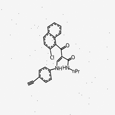 C#Cc1ccc(NC=C(C(=O)NCCC)C(=O)c2c(Cl)ccc3ccccc23)cc1